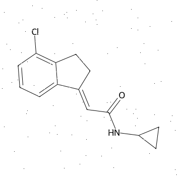 O=C(/C=C1\CCc2c(Cl)cccc21)NC1CC1